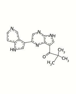 CC(C)(C)C(=O)c1c[nH]c2ncc(-c3c[nH]c4ccncc34)nc12